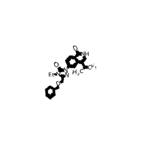 C=C(C)c1c[nH]c(=O)c2ccc(-n3nc(COCc4ccccc4)n(CC)c3=O)cc12